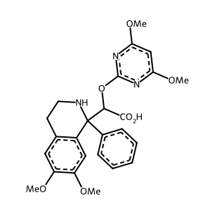 COc1cc(OC)nc(OC(C(=O)O)C2(c3ccccc3)NCCc3cc(OC)c(OC)cc32)n1